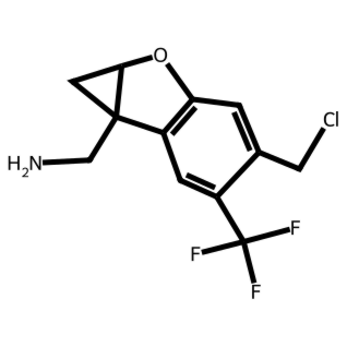 NCC12CC1Oc1cc(CCl)c(C(F)(F)F)cc12